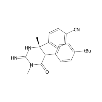 CN1C(=N)N[C@](C)(c2ccc(C#N)cc2)C(c2ccc(C(C)(C)C)cc2)C1=O